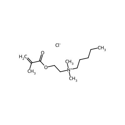 C=C(C)C(=O)OCC[N+](C)(C)CCCCC.[Cl-]